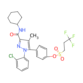 Cc1c(C(=O)NC2CCCCC2)nn(-c2ccccc2Cl)c1-c1ccc(OS(=O)(=O)CCC(F)(F)F)cc1